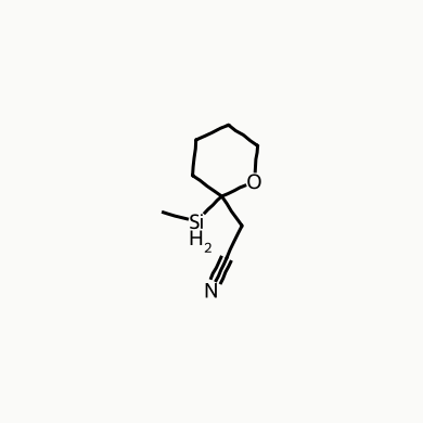 C[SiH2]C1(CC#N)CCCCO1